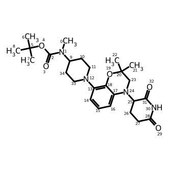 CN(C(=O)OC(C)(C)C)C1CCN(c2cccc3c2OC(C)(C)CN3C2CCC(=O)NC2=O)CC1